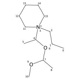 CCC[N+]1(C(C)OC(C)OC)CCCCC1